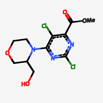 COC(=O)c1nc(Cl)nc(N2CCOCC2CO)c1Cl